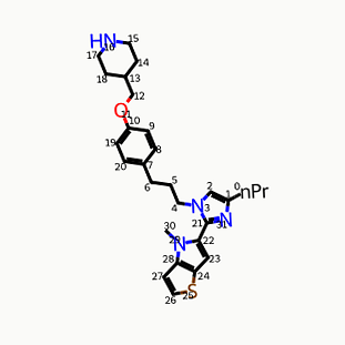 CCCc1cn(CCCc2ccc(OCC3CCNCC3)cc2)c(-c2cc3sccc3n2C)n1